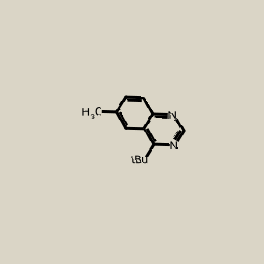 Cc1ccc2ncnc(C(C)(C)C)c2c1